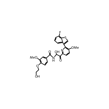 COc1cc(C(=O)NC(O)C(=O)c2ccc(OC)c(-c3csc4c(F)cccc34)n2)ccc1OCCO